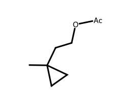 CC(=O)OCCC1(C)CC1